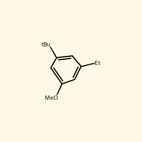 CCc1cc(OC)cc(C(C)(C)C)c1